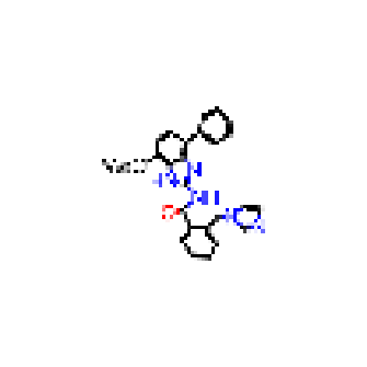 COc1ccc(-c2ccccc2)c2nc(NC(=O)c3ccccc3Cn3ccnc3)[nH]c12